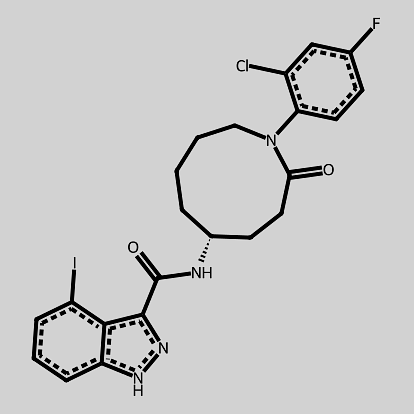 O=C(N[C@@H]1CCCCN(c2ccc(F)cc2Cl)C(=O)CC1)c1n[nH]c2cccc(I)c12